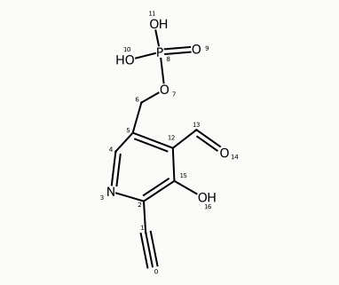 C#Cc1ncc(COP(=O)(O)O)c(C=O)c1O